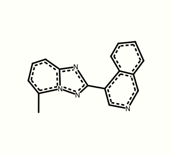 Cc1cccc2nc(-c3cncc4ccccc34)nn12